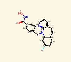 O=C(NO)c1ccc(CN2c3cc(F)ccc3C=Cc3cccnc32)cc1